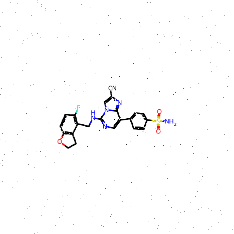 N#Cc1cn2c(NCc3c(F)ccc4c3CCO4)ncc(-c3ccc(S(N)(=O)=O)cc3)c2n1